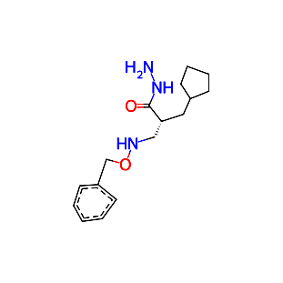 NNC(=O)[C@@H](CNOCc1ccccc1)CC1CCCC1